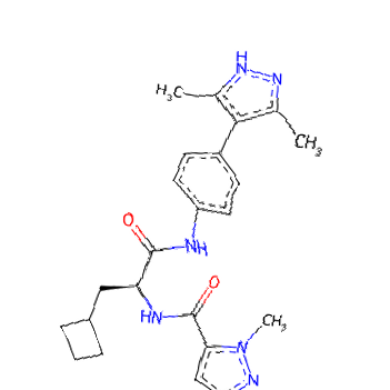 Cc1n[nH]c(C)c1-c1ccc(NC(=O)[C@H](CC2CCC2)NC(=O)c2ccnn2C)cc1